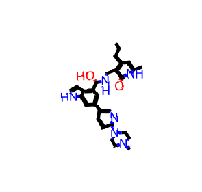 CCCc1cc(C)[nH]c(=O)c1CNC(O)c1cc(-c2ccc(N3CCN(C)CC3)nc2)cc2[nH]ccc12